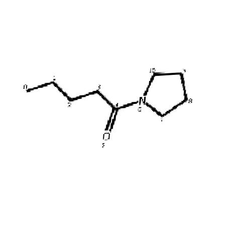 CCC[CH]C(=O)N1CCCC1